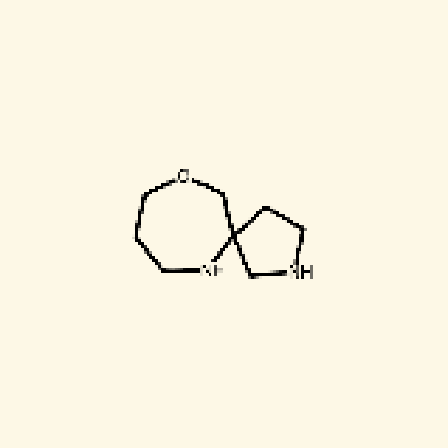 C1CNC2(CCNC2)COC1